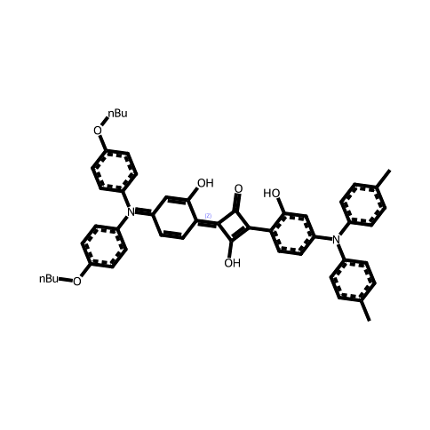 CCCCOc1ccc([N+](=C2C=C/C(=C3/C(=O)C(c4ccc(N(c5ccc(C)cc5)c5ccc(C)cc5)cc4O)=C3O)C(O)=C2)c2ccc(OCCCC)cc2)cc1